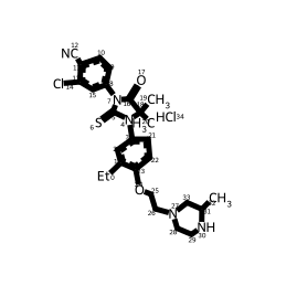 CCc1cc(N2C(=S)N(c3ccc(C#N)c(Cl)c3)C(=O)C2(C)C)ccc1OCCN1CCNC(C)C1.Cl